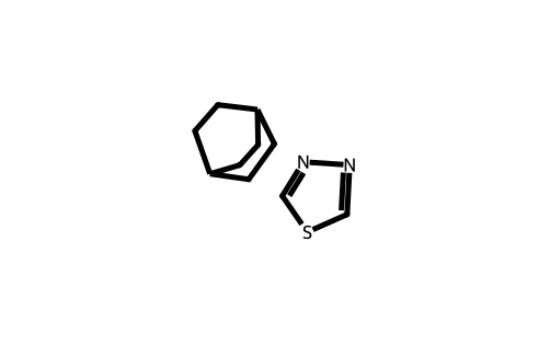 C1CC2CCC1CC2.c1nncs1